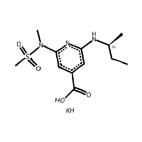 CC[C@H](C)Nc1cc(C(=O)O)cc(N(C)S(C)(=O)=O)n1.[KH]